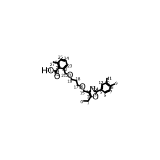 CCc1oc(-c2ccc(C)c(C)c2)nc1COCCCOCc1cccc(C)c1C(=O)O